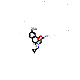 COc1ccc2c(c1)[C@]13CCN(CC4CC4)[C@H](C2)[C@]12CC[C@@](N)(CO2)C3